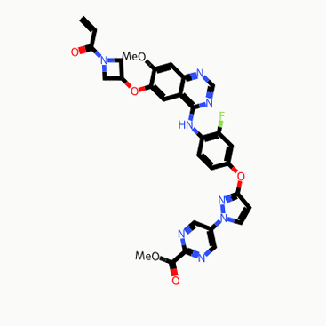 C=CC(=O)N1CC(Oc2cc3c(Nc4ccc(Oc5ccn(-c6cnc(C(=O)OC)nc6)n5)cc4F)ncnc3cc2OC)C1